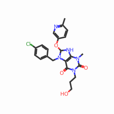 Cc1ccc(OC2Nc3c(c(=O)n(CCCO)c(=O)n3C)N2Cc2ccc(Cl)cc2)cn1